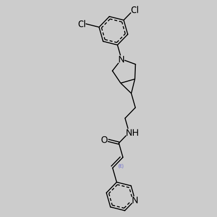 O=C(/C=C/c1cccnc1)NCCC1C2CN(c3cc(Cl)cc(Cl)c3)CC12